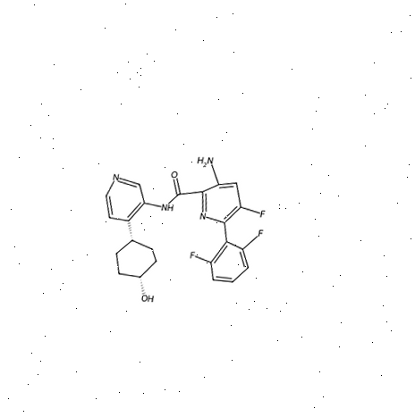 Nc1cc(F)c(-c2c(F)cccc2F)nc1C(=O)Nc1cnccc1[C@H]1CC[C@@H](O)CC1